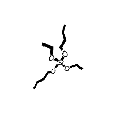 CCCCO[Si](OCC)(OCC)OCCCC